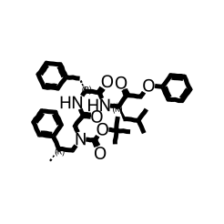 CC(C)C[C@@H](NC(=O)[C@@H](Cc1ccccc1)NC(=O)CN(C[C@H](C)c1ccccc1)C(=O)OC(C)(C)C)C(=O)COc1ccccc1